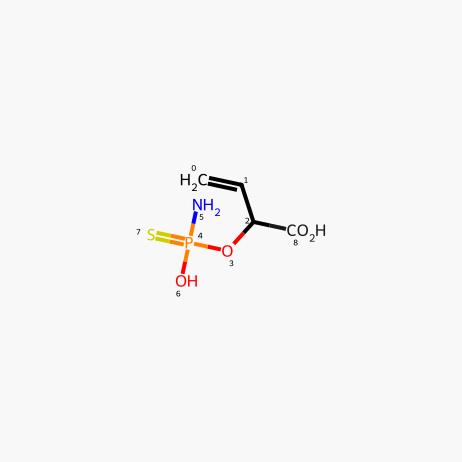 C=CC(OP(N)(O)=S)C(=O)O